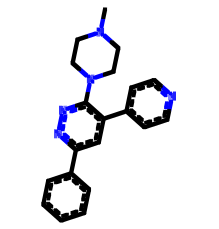 CN1CCN(c2nnc(-c3ccccc3)cc2-c2ccncc2)CC1